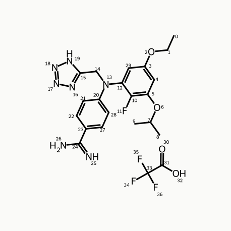 CCOc1cc(OC(C)C)c(F)c(N(Cc2nnn[nH]2)c2ccc(C(=N)N)cc2)c1.O=C(O)C(F)(F)F